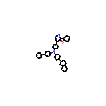 c1ccc(-c2ccc(N(c3ccc(-c4ccc5ccccc5c4)cc3)c3ccc(-c4ccnc5c4oc4ccccc45)cc3)cc2)cc1